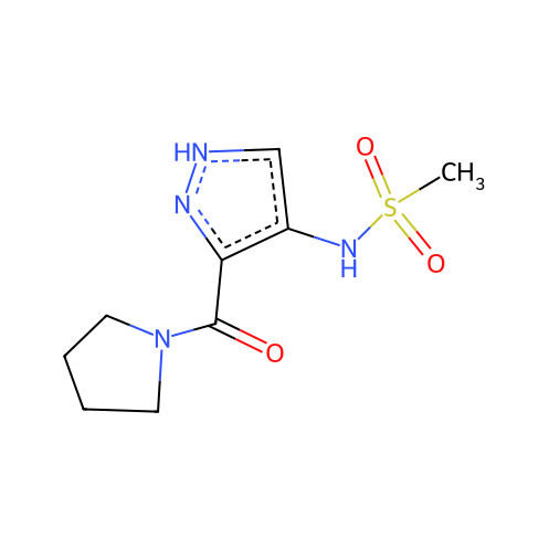 CS(=O)(=O)Nc1c[nH]nc1C(=O)N1CCCC1